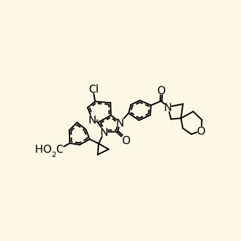 O=C(O)c1cccc(C2(n3c(=O)n(-c4ccc(C(=O)N5CC6(CCOCC6)C5)cc4)c4cc(Cl)cnc43)CC2)c1